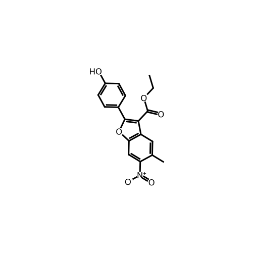 CCOC(=O)c1c(-c2ccc(O)cc2)oc2cc([N+](=O)[O-])c(C)cc12